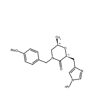 CCCn1cnc(C[C@@H]2O[C@H](C)CN(Cc3ccc(OC)cc3)C2=O)c1